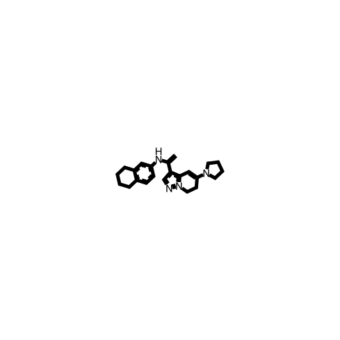 C=C(Nc1ccc2c(c1)CCCC2)c1cnn2c1C=C(N1CCCC1)CC2